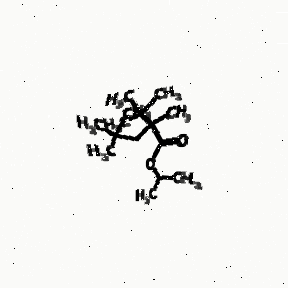 CC(C)OC(=O)C(C)(CC(C)(C)C)C(C)(C)C